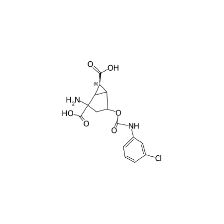 NC1(C(=O)O)CC(OC(=O)Nc2cccc(Cl)c2)C2C1[C@H]2C(=O)O